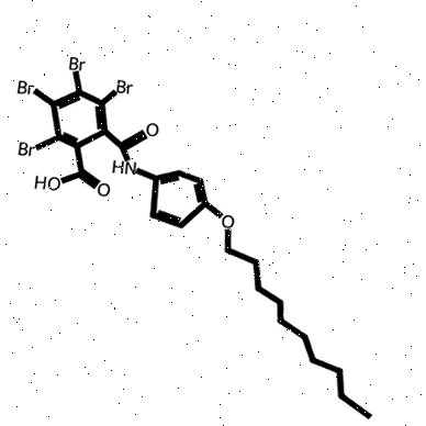 CCCCCCCCCCOc1ccc(NC(=O)c2c(Br)c(Br)c(Br)c(Br)c2C(=O)O)cc1